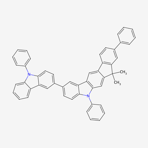 CC1(C)c2cc(-c3ccccc3)ccc2-c2cc3c4cc(-c5ccc6c(c5)c5ccccc5n6-c5ccccc5)ccc4n(-c4ccccc4)c3cc21